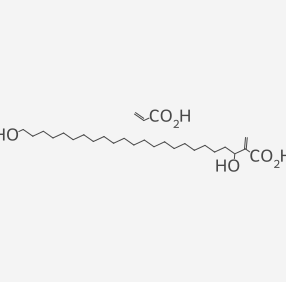 C=C(C(=O)O)C(O)CCCCCCCCCCCCCCCCCCCCCO.C=CC(=O)O